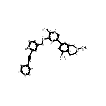 Cc1cc(-c2cnc(N)c(OCc3ccnc(C#Cc4ccncc4)c3)n2)cc2c1CCN(C)C2